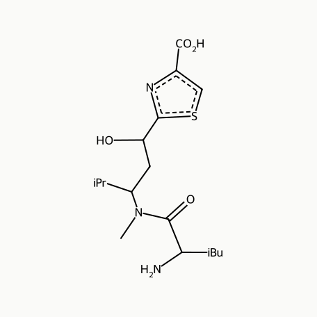 CCC(C)C(N)C(=O)N(C)C(CC(O)c1nc(C(=O)O)cs1)C(C)C